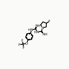 N=C(NC(=N)N1CCC(F)C1)Nc1ccc(OC(F)(F)F)cc1